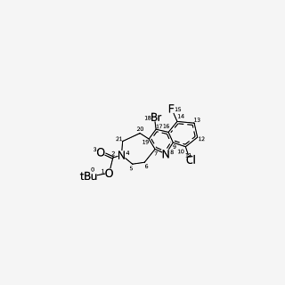 CC(C)(C)OC(=O)N1CCc2nc3c(Cl)ccc(F)c3c(Br)c2CC1